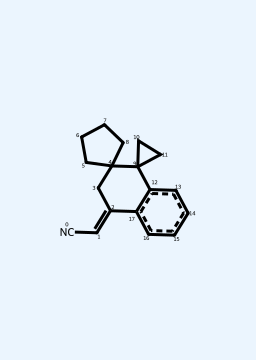 N#C/C=C1\CC2(CCCC2)C2(CC2)c2ccccc21